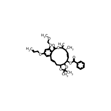 C=CCOc1cc2c(c(OCOC)c1)C(=O)OC(C)[C@H](C)/C=C\C(OC(=O)c1ccccc1)C1OC(C)(C)OC1C/C=C/2